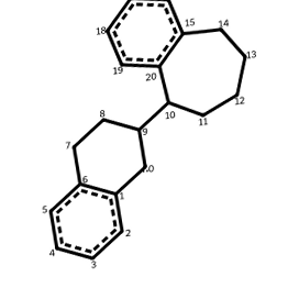 [C]1c2ccccc2CCC1C1CCCCc2ccccc21